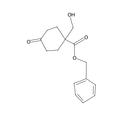 O=C1CCC(CO)(C(=O)OCc2ccccc2)CC1